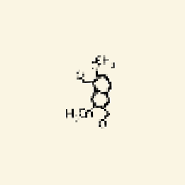 COc1cc2c(C=O)c(OC)ccc2cc1C=O